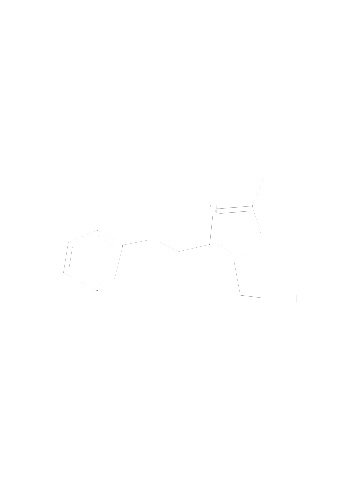 Cc1nc(COc2ccccc2)c(CC(=O)O)s1